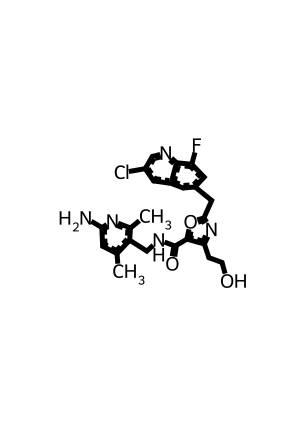 Cc1cc(N)nc(C)c1CNC(=O)c1oc(Cc2cc(F)c3ncc(Cl)cc3c2)nc1CCO